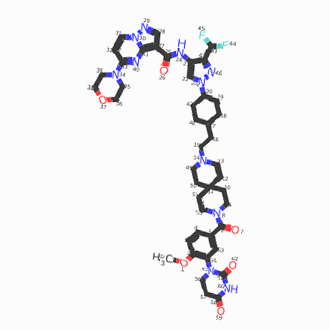 COc1ccc(C(=O)N2CCC3(CCN(CCC4CCC(n5cc(NC(=O)c6cnn7ccc(N8CCOCC8)nc67)c(C(F)F)n5)CC4)CC3)CC2)cc1N1CCC(=O)NC1=O